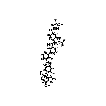 Cc1c(Nc2nc(C(F)F)nc3cc(CNC[C@H](C)O)cnc23)cccc1-c1cccc(-c2nc3cc(CN4CCC(C(=O)O)C4)c(OC(F)F)cc3o2)c1C